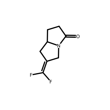 O=C1CCC2CC(=C(F)F)CN12